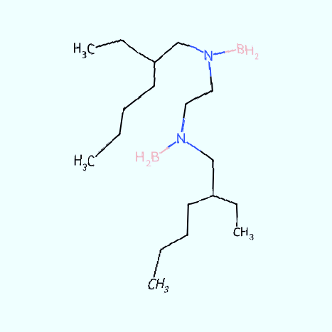 BN(CCN(B)CC(CC)CCCC)CC(CC)CCCC